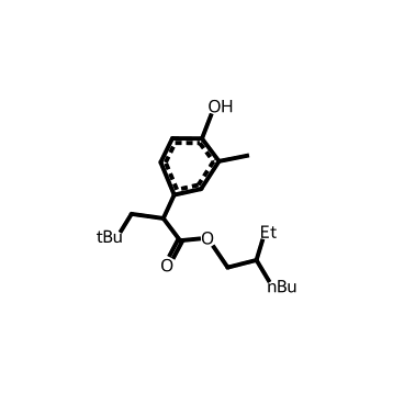 CCCCC(CC)COC(=O)C(CC(C)(C)C)c1ccc(O)c(C)c1